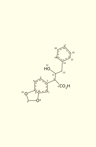 O=C(O)C(c1ccc2c(c1)OCO2)C(O)Cc1ccccc1